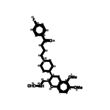 COc1ccc2c(c1OC)C[C@H](C1CCN(CCCC(=O)c3ccc(F)cc3)CC1)[C@H](CNC=O)O2